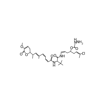 COC1=CCC(C(C)/C=C(C)/C=C\C=C/C(=O)NC(C(=O)N/C=C\CC(C/C=C(\C)Cl)OC(=O)NN)C(C)(C)C)OC1=O